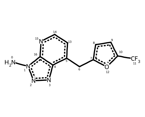 Nn1nnc2c(Cc3ccc(C(F)(F)F)o3)ccnc21